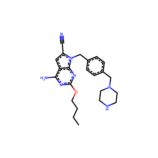 CCCCOc1nc(N)c2cc(C#N)n(Cc3ccc(CN4CCNCC4)cc3)c2n1